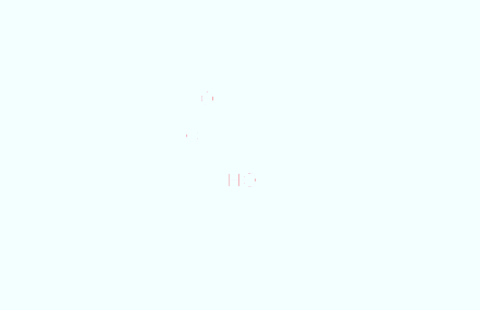 COc1cc2c(cc1OC)C(O)C(Cc1ccccc1)CC2